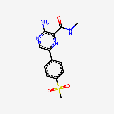 CNC(=O)c1nc(-c2ccc(S(C)(=O)=O)cc2)cnc1N